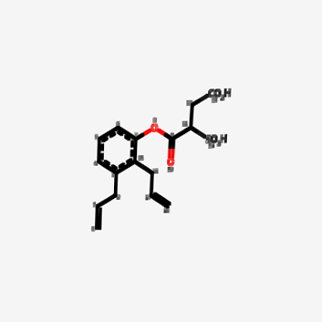 C=CCc1cccc(OC(=O)C(CC(=O)O)S(=O)(=O)O)c1CC=C